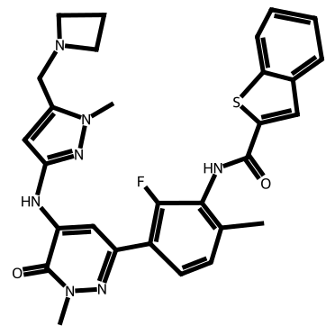 Cc1ccc(-c2cc(Nc3cc(CN4CCC4)n(C)n3)c(=O)n(C)n2)c(F)c1NC(=O)c1cc2ccccc2s1